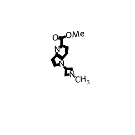 COC(=O)c1ccc2c(ccn2C2CN(C)C2)n1